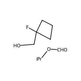 CC(C)OC=O.OCC1(F)CCC1